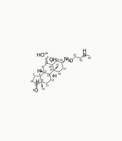 C=C1C[C@H]2[C@@H]3CCC(=O)[C@@]3(C)CC[C@@H]2[C@@]2(C)CCC(=NOCCNC)C[C@]12O.Cl